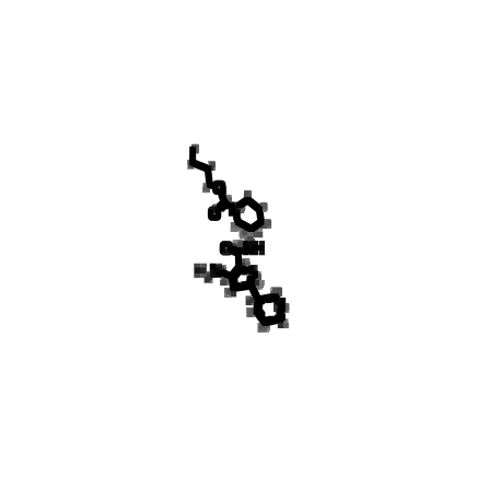 CCCCOC(=O)N1CCC[C@H](NC(=O)c2sc(-c3cccnc3)cc2N)C1